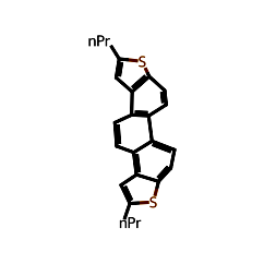 CCCc1cc2c(ccc3c2ccc2c4cc(CCC)sc4ccc23)s1